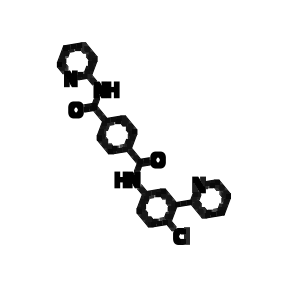 O=C(Nc1ccc(Cl)c(-c2ccccn2)c1)c1ccc(C(=O)Nc2ccccn2)cc1